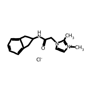 Cc1n(CC(=O)NC2Cc3ccccc3C2)cc[n+]1C.[Cl-]